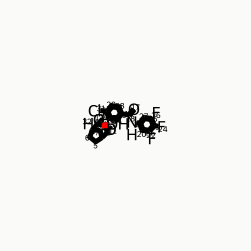 CC(=O)[C@]1(O)CC2CC[C@@H](C1)C2S(=O)(=O)c1cc(C(=O)Nc2cc(F)c(F)c(F)c2)ccc1Cl